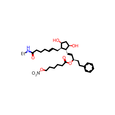 CCNC(=O)CCCC=CC[C@@H]1[C@@H](C=C[C@@H](CCc2ccccc2)OC(=O)CCCCCO[N+](=O)[O-])[C@H](O)C[C@@H]1O